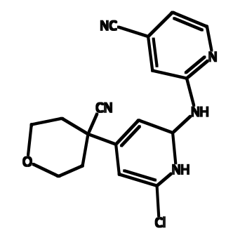 N#Cc1ccnc(NC2C=C(C3(C#N)CCOCC3)C=C(Cl)N2)c1